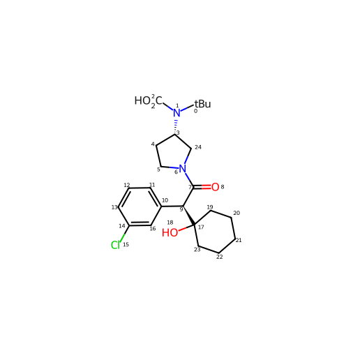 CC(C)(C)N(C(=O)O)[C@H]1CCN(C(=O)[C@H](c2cccc(Cl)c2)C2(O)CCCCC2)C1